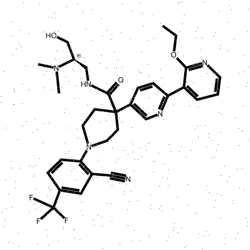 CCOc1ncccc1-c1ccc(C2(C(=O)NC[C@H](CO)N(C)C)CCN(c3ccc(C(F)(F)F)cc3C#N)CC2)cn1